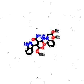 CCOC(CN(NC(=O)C(C(N)=O)=C(C(=O)OC(C)(C)C)c1n[nH]c2ccccc12)c1ccccc1)OCC